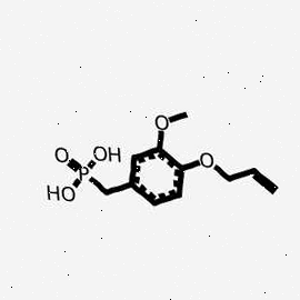 C=CCOc1ccc(CP(=O)(O)O)cc1OC